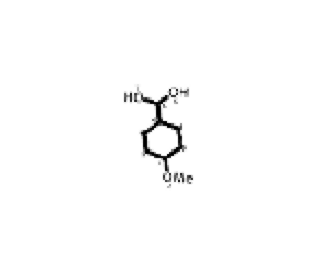 COC1CCC(C(O)O)CC1